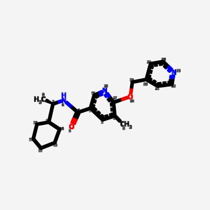 Cc1cc(C(=O)N[C@H](C)C2CCCCC2)cnc1OCc1ccncc1